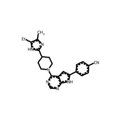 CCc1[nH]c(C2CCN(c3ncnc4[nH]c(-c5ccc(C#N)cc5)cc34)CC2)nc1C